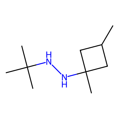 CC1CC(C)(NNC(C)(C)C)C1